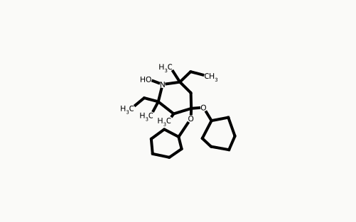 CCC1(C)CC(OC2CCCCC2)(OC2CCCCC2)C(C)C(C)(CC)N1O